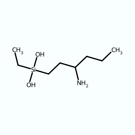 CCCC(N)CC[Si](O)(O)CC